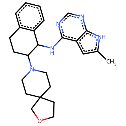 Cc1cc2c(NC3c4ccccc4CCC3N3CCC4(CCOC4)CC3)ncnc2[nH]1